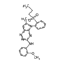 CCCS(=O)(=O)c1ccccc1-n1c(C)cc2nnc(Nc3ccccc3OC)nc21